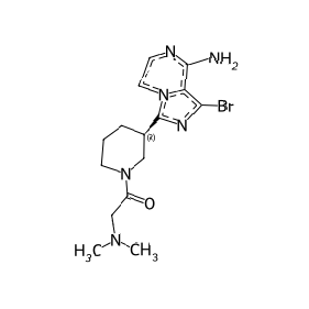 CN(C)CC(=O)N1CCC[C@@H](c2nc(Br)c3c(N)nccn23)C1